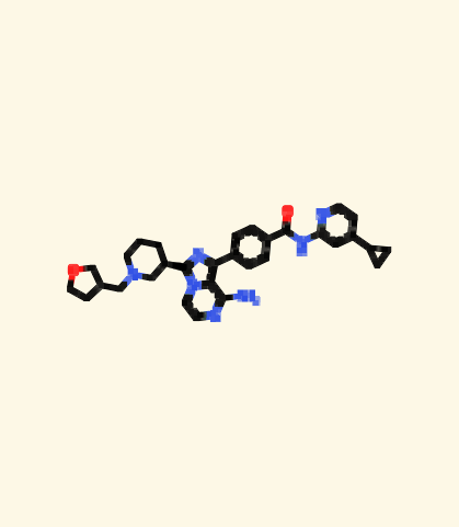 Nc1nccn2c([C@@H]3CCCN(CC4CCOC4)C3)nc(-c3ccc(C(=O)Nc4cc(C5CC5)ccn4)cc3)c12